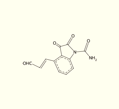 NC(=O)N1C(=O)C(=O)c2c(/C=C/[C]=O)cccc21